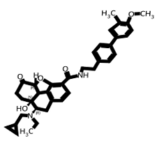 CCN(CC1CC1)[C@@H]1Cc2ccc(C(=O)NCCc3ccc(-c4ccc(OC)c(C)c4)cc3)c3c2C2[C@@H](O3)C(=O)CC[C@]21O